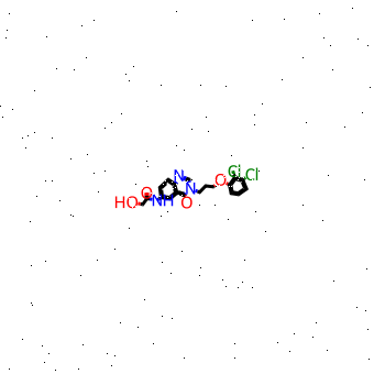 O=C(CO)Nc1ccc2ncn(CCCOc3cccc(Cl)c3Cl)c(=O)c2c1